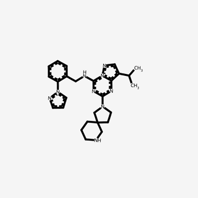 CC(C)c1cnn2c(NCc3ccccc3-n3cccn3)nc(N3CCC4(CCCNC4)C3)nc12